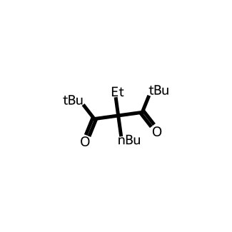 CCCCC(CC)(C(=O)C(C)(C)C)C(=O)C(C)(C)C